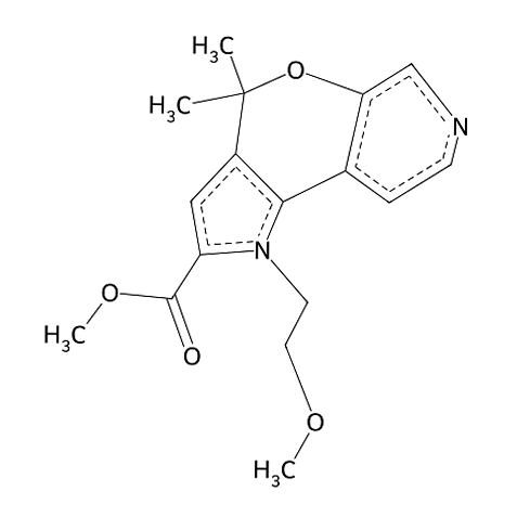 COCCn1c(C(=O)OC)cc2c1-c1ccncc1OC2(C)C